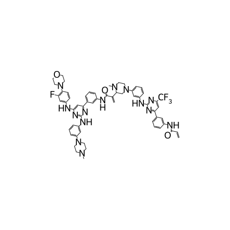 C=CC(=O)Nc1cccc(-c2cc(C(F)(F)F)nc(Nc3cccc(N4CCN(C)C(C(=C)C(=O)Nc5cccc(-c6cc(Nc7ccc(N8CCOCC8)c(F)c7)nc(Nc7cccc(N8CCN(C)CC8)c7)n6)c5)C4)c3)n2)c1